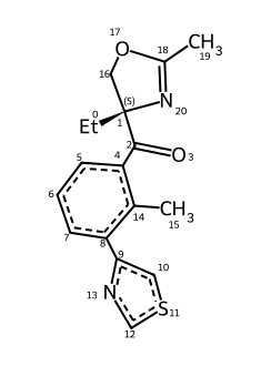 CC[C@@]1(C(=O)c2cccc(-c3cscn3)c2C)COC(C)=N1